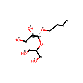 CCCCO[C@H](OC(CO)CO)[C@@H](O)CO